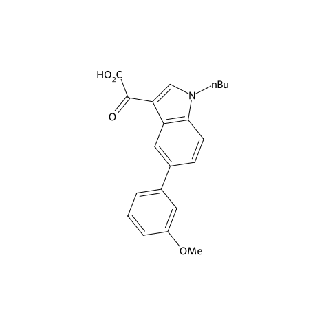 CCCCn1cc(C(=O)C(=O)O)c2cc(-c3cccc(OC)c3)ccc21